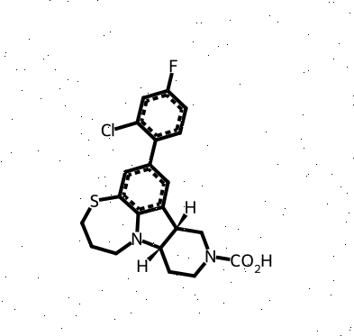 O=C(O)N1CC[C@H]2[C@@H](C1)c1cc(-c3ccc(F)cc3Cl)cc3c1N2CCCS3